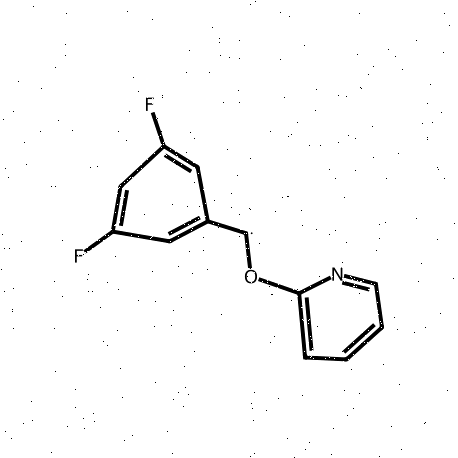 Fc1cc(F)cc([CH]Oc2ccccn2)c1